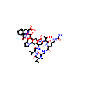 CC[C@H](C)C([C@@H](CC(=O)N1CCCC1[C@H](OC)[C@@H](C)C(=O)N[C@@H](Cc1ccccc1)C(=O)O)OC)N(C)C(=O)[C@@H](NC(=O)[C@H](C(C)C)N(C)C(=O)CNC(=O)[C@H](CCCNC(N)=O)NC(=O)C(NC(=O)CCCCCN1C(=O)C=CC1=O)C(C)O)C(C)C